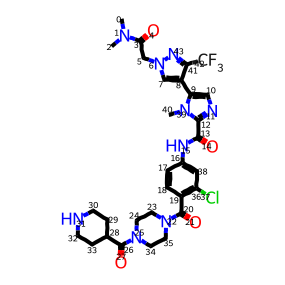 CN(C)C(=O)Cn1cc(-c2cnc(C(=O)Nc3ccc(C(=O)N4CCN(C(=O)C5CCNCC5)CC4)c(Cl)c3)n2C)c(C(F)(F)F)n1